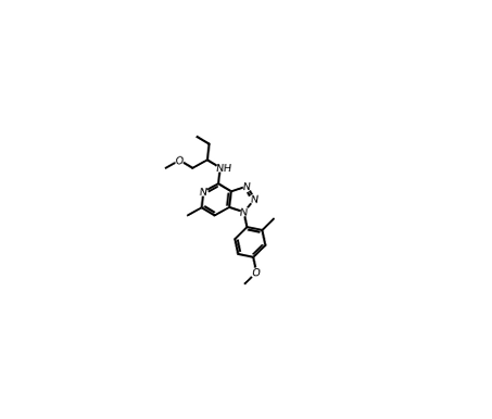 CCC(COC)Nc1nc(C)cc2c1nnn2-c1ccc(OC)cc1C